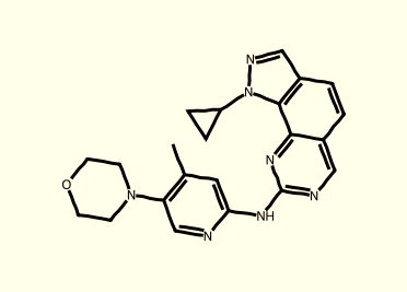 Cc1cc(Nc2ncc3ccc4cnn(C5CC5)c4c3n2)ncc1N1CCOCC1